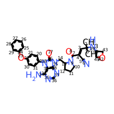 CC(C)(C=C(C#N)C(=O)N1CCCC1Cn1c(=O)n(-c2ccc(Oc3ccccc3)cc2)c2c(N)ncnc21)NC1COC1